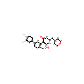 Cc1ccc(-c2ccc(F)c(F)c2)cc1C1=C(O)CC(CC2CCOCC2)CC1=O